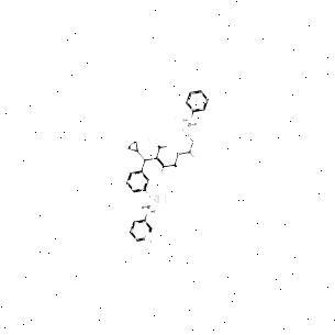 CCC(CNS(=O)(=O)c1ccccc1)C1OC(=O)C(C(c2cccc(NS(=O)(=O)c3cccnc3)c2)C2CC2)=C(O)C1=O